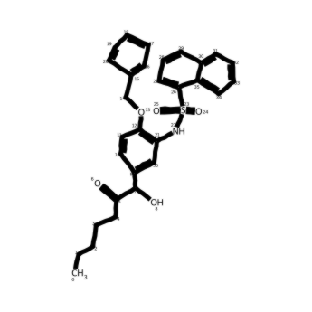 CCCCCC(=O)C(O)c1ccc(OCc2ccccc2)c(NS(=O)(=O)c2cccc3ccccc23)c1